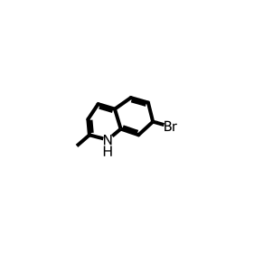 CC1=CC=C2C=C[C](Br)C=C2N1